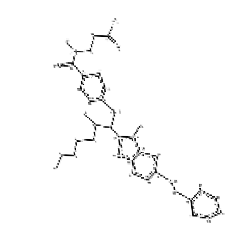 CCCCCC(C)C(Nc1ccc(C(=O)N(C)CCC(=O)O)cc1)c1oc2ccc(OCc3ccccn3)cc2c1C